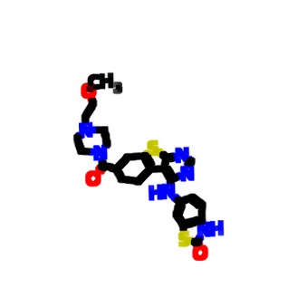 COCCN1CCN(C(=O)C2CCc3c(sc4ncnc(Nc5ccc6[nH]c(=O)sc6c5)c34)C2)CC1